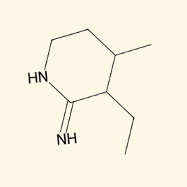 CCC1C(=N)NCCC1C